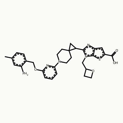 Cc1ccc(COc2cccc(N3CCC4(CC3)CC4c3nc4cc(C(=O)O)sc4n3CC3CCO3)n2)c(P)c1